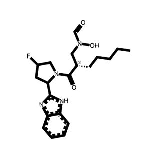 CCCCC[C@@H](CN(O)C=O)C(=O)N1CC(F)CC1c1nc2ccccc2[nH]1